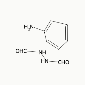 Nc1ccccc1.O=CNNC=O